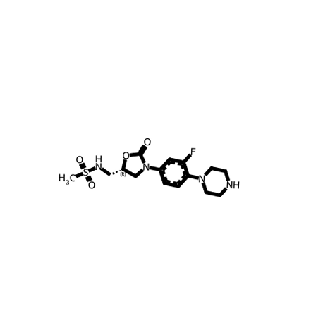 CS(=O)(=O)NC[C@H]1CN(c2ccc(N3CCNCC3)c(F)c2)C(=O)O1